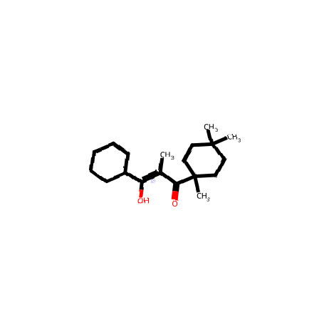 C/C(C(=O)C1(C)CCC(C)(C)CC1)=C(/O)C1CCCCC1